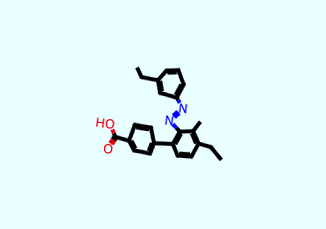 CCc1cccc(N=Nc2c(-c3ccc(C(=O)O)cc3)ccc(CC)c2C)c1